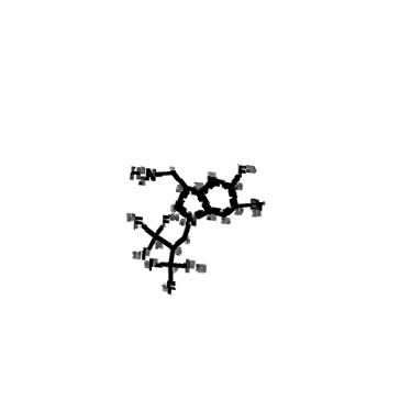 NCc1cn(CC(C(F)(F)F)C(F)(F)F)c2cc(Br)c(F)cc12